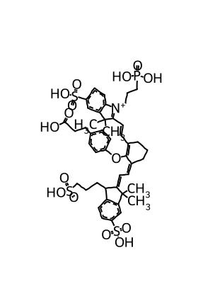 CC1(C)C(/C=C/C2=C(Oc3ccc(CCC(=O)O)cc3)C(=C\C=C3\C(CCCS(=O)(=O)O)c4ccc(S(=O)(=O)O)cc4C3(C)C)/CCC2)=[N+](CCCP(=O)(O)O)c2ccc(S(=O)(=O)O)cc21